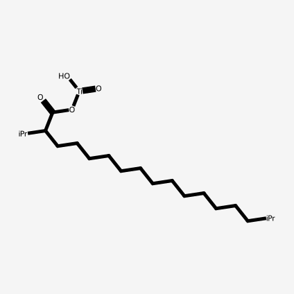 CC(C)CCCCCCCCCCCCCC(C(=O)[O][Ti](=[O])[OH])C(C)C